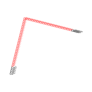 [Cu+2].[Cu+2].[Cu+2].[Cu+2].[Cu+2].[Cu+2].[Cu+2].[Cu+2].[Cu+2].[Cu+2].[O-2].[O-2].[O-2].[O-2].[O-2].[O-2].[O-2].[O-2].[O-2].[O-2].[O-2].[O-2].[O-2].[O-2].[O-2].[O-2].[O-2].[O-2].[O-2].[O-2].[O-2].[O-2].[O-2].[O-2].[O-2].[O-2].[O-2].[O-2].[O-2].[O-2].[O-2].[O-2].[O-2].[O-2].[O-2].[O-2].[O-2].[O-2].[O-2].[O-2].[O-2].[O-2].[O-2].[O-2].[O-2].[O-2].[O-2].[O-2].[O-2].[O-2].[O-2].[O-2].[O-2].[O-2].[O-2].[O-2].[O-2].[O-2].[O-2].[O-2]